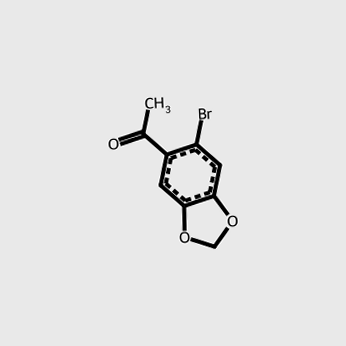 CC(=O)c1cc2c(cc1Br)OCO2